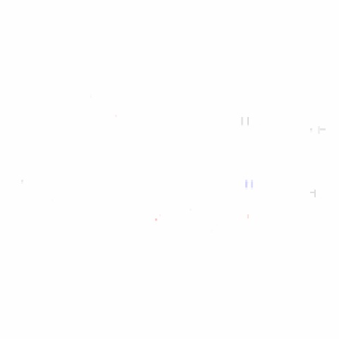 COc1cc(OC)c(C(=O)C(=CN(O)C(C)C(C)C)C(=O)O)cc1I